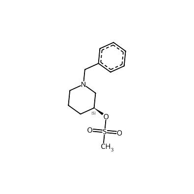 CS(=O)(=O)O[C@H]1CCCN(Cc2ccccc2)C1